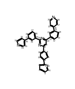 c1ccc(-c2ccc(-c3cc(-c4cccc(-c5ccncc5)c4)nc(-c4cccc(-c5ccncc5)c4)n3)cc2)nc1